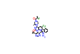 C=C(F)C(=O)N1CCN(c2nc(=O)n(-c3c(C4CC4)ncnc3C3CC3)c3nc(-c4c(N)cccc4F)c(F)cc23)[C@@H](C)C1